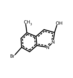 Cc1cc(Br)cc2nnc(O)cc12